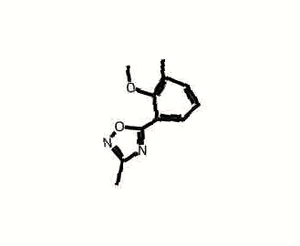 COc1c(C)cccc1-c1nc(C)no1